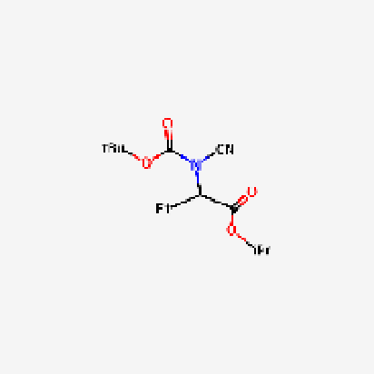 CCC(C(=O)OC(C)C)N(C#N)C(=O)OC(C)(C)C